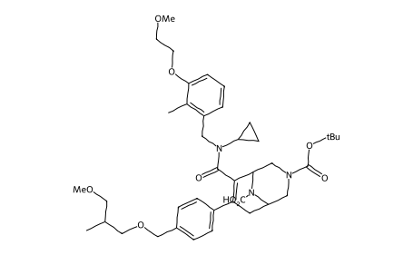 COCCOc1cccc(CN(C(=O)C2=C(c3ccc(COCC(C)COC)cc3)CC3CN(C(=O)OC(C)(C)C)CC2N3C(=O)O)C2CC2)c1C